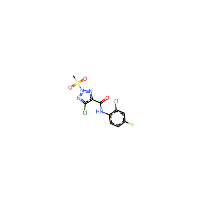 CS(=O)(=O)n1nc(Cl)c(C(=O)Nc2ccc(F)cc2Cl)n1